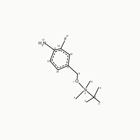 CC(C)(C)[Si](C)(C)OCc1ccc(N)c(F)c1